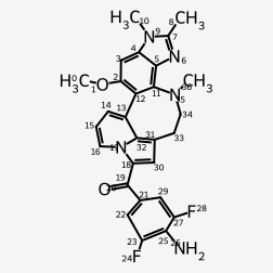 COc1cc2c(nc(C)n2C)c2c1-c1cccn3c(C(=O)c4cc(F)c(N)c(F)c4)cc(c13)CCN2C